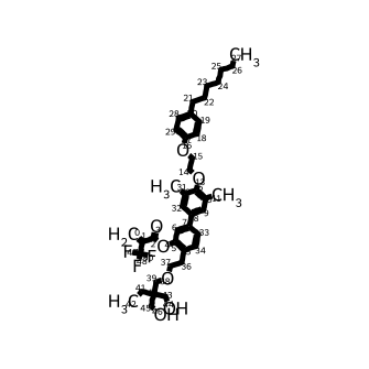 C=C(C(=O)Oc1cc(-c2cc(C)c(OCCOc3ccc(CCCCCCC)cc3)c(C)c2)ccc1CCOCC(CC)(CO)CO)C(F)(F)F